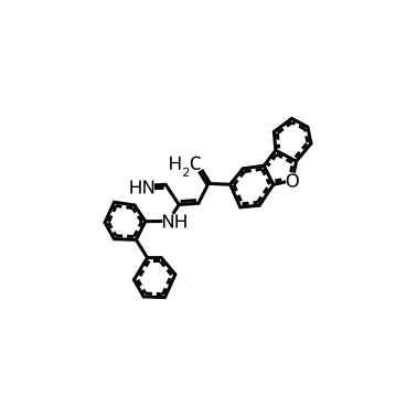 C=C(/C=C(\C=N)Nc1ccccc1-c1ccccc1)c1ccc2oc3ccccc3c2c1